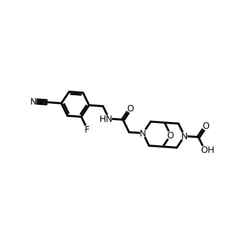 N#Cc1ccc(CNC(=O)CN2CC3CN(C(=O)O)CC(C2)O3)c(F)c1